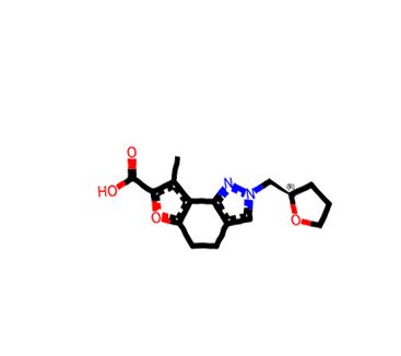 Cc1c(C(=O)O)oc2c1-c1nn(C[C@H]3CCCO3)cc1CC2